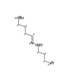 CC(C)CCCN/N=C/CCCC(C)(C)C